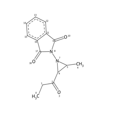 CCC(=O)C1C(C)N1N1C(=O)c2ccccc2C1=O